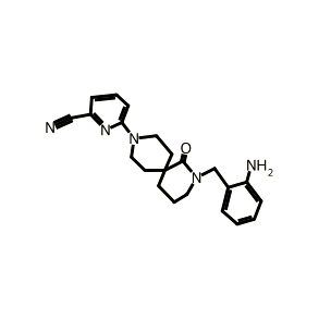 N#Cc1cccc(N2CCC3(CCCN(Cc4ccccc4N)C3=O)CC2)n1